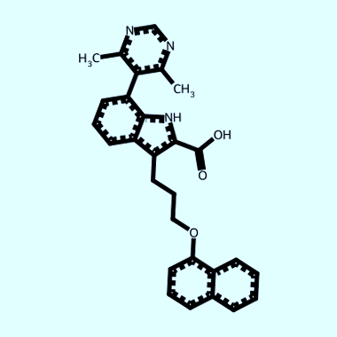 Cc1ncnc(C)c1-c1cccc2c(CCCOc3cccc4ccccc34)c(C(=O)O)[nH]c12